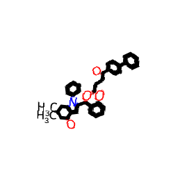 CC1(C)CC(=O)c2cc(C(OC(=O)CCC(=O)c3ccc(-c4ccccc4)cc3)c3ccccc3)n(-c3ccccc3)c2C1